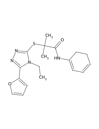 CCn1c(SC(C)(C)C(=O)NC2=CC=CCC2)nnc1-c1ccco1